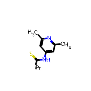 Cc1cc(NC(=S)C(C)C)cc(C)n1